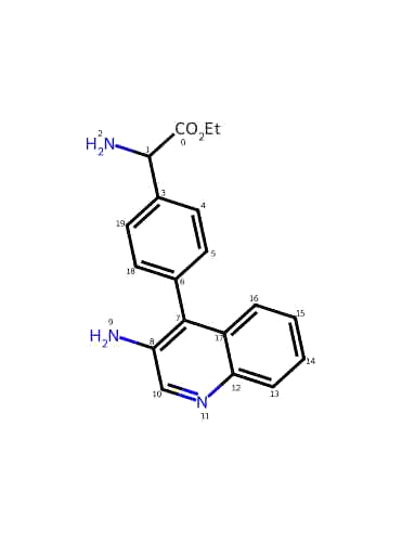 CCOC(=O)C(N)c1ccc(-c2c(N)cnc3ccccc23)cc1